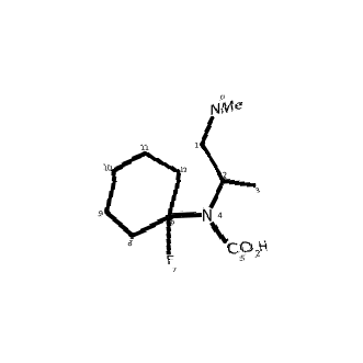 CNCC(C)N(C(=O)O)C1(F)CCCCC1